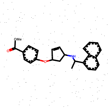 COC(=O)c1ccc(OC2C=CC(NC(C)c3cccc4ccccc34)C2)cc1